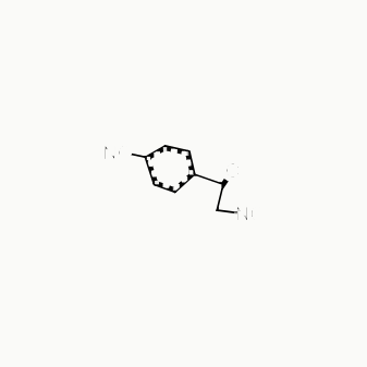 [C-]#[N+]CC(=O)c1ccc(C#N)cc1